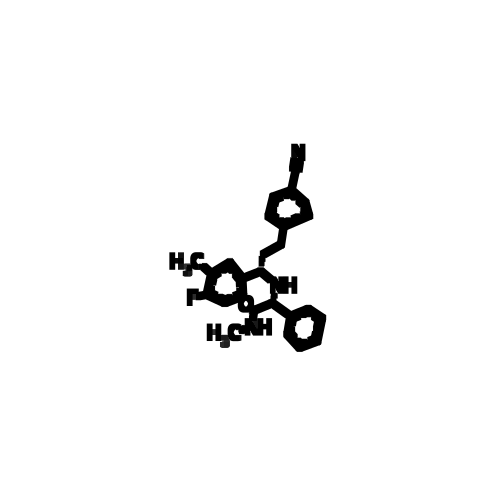 CNC(=O)[C@H](N[C@@H](CCc1ccc(C#N)cc1)c1ccc(F)c(C)c1)c1ccccc1